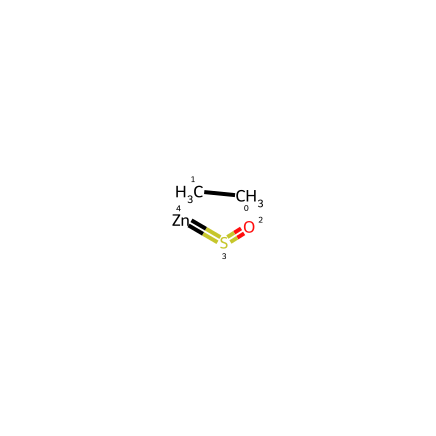 CC.O=[S]=[Zn]